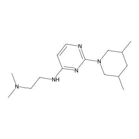 CC1CC(C)CN(c2nccc(NCCN(C)C)n2)C1